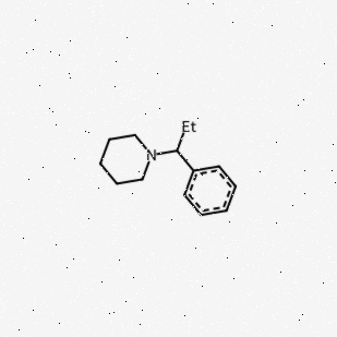 CCC(c1ccccc1)N1CCCCC1